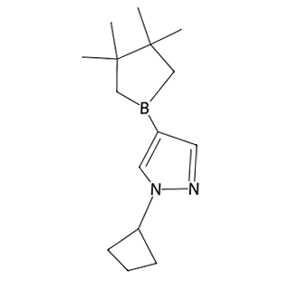 CC1(C)CB(c2cnn(C3CCC3)c2)CC1(C)C